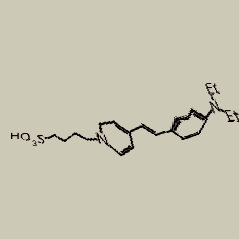 CCN(CC)c1ccc(C=CC2=CCN(CCCCS(=O)(=O)O)C=C2)cc1